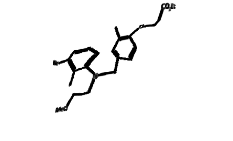 CCOC(=O)COc1ccc(CN(CCOC)c2cccc(Br)c2C)cc1C